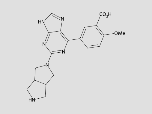 COc1ccc(-c2nc(N3CC4CNCC4C3)nc3[nH]cnc23)cc1C(=O)O